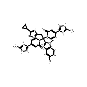 Cn1c(C(Cc2noc(C3CC3)n2)(n2ccc(-c3noc(C(F)(F)F)n3)cc2=O)n2ccc(-c3noc(C(F)(F)F)n3)cc2=O)nc2cc(Cl)ccc21